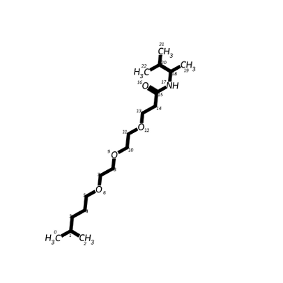 CC(C)CCCOCCOCCOCCC(=O)NC(C)C(C)C